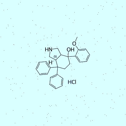 COc1ccccc1C1(O)CCC(c2ccccc2)(c2ccccc2)[C@H]2CNCC21.Cl